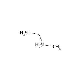 C[SiH2]C[SiH3]